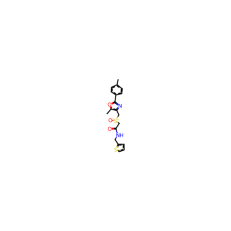 Cc1ccc(-c2nc(C[S+]([O-])CC(=O)NCc3cccs3)c(C)o2)cc1